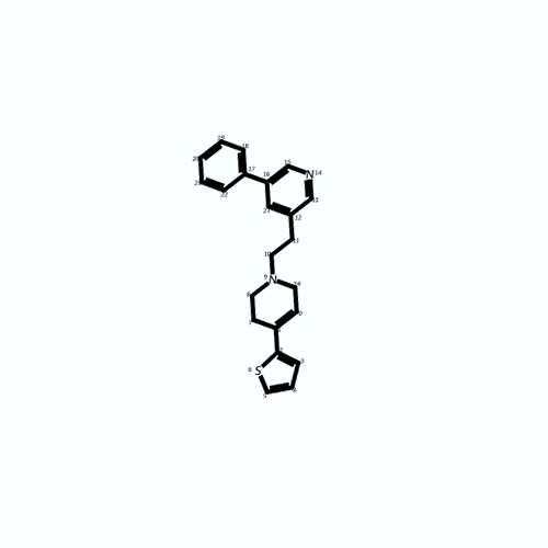 C1=C(c2cccs2)CCN(CCc2cncc(-c3ccccc3)c2)C1